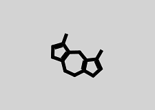 CC1=CCC2=C1CC1=C(CC=C1C)CC2